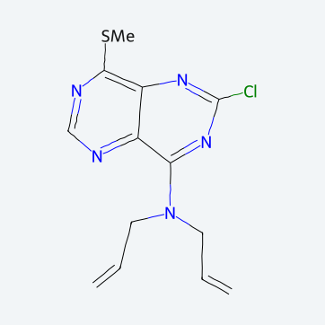 C=CCN(CC=C)c1nc(Cl)nc2c(SC)ncnc12